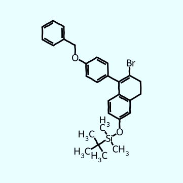 CC(C)(C)[Si](C)(C)Oc1ccc2c(c1)CCC(Br)=C2c1ccc(OCc2ccccc2)cc1